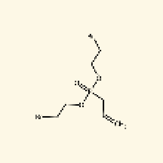 C=CCP(=O)(OCCBr)OCCBr